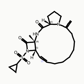 C=C1CCCCCC/C=C\[C@@H]2N(S(=O)(=O)C3CC3)C(=O)[C@]2(C)NC(=O)[C@@H]2CCCN12